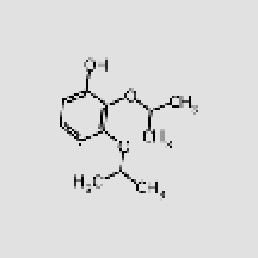 CC(C)Oc1[c]ccc(O)c1OC(C)C